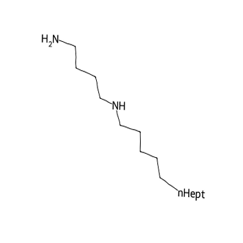 CCCCCCCCCCCCNCCCCN